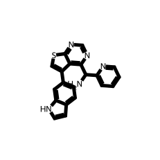 NC(c1ccccn1)c1ncnc2scc(-c3ccc4cc[nH]c4c3)c12